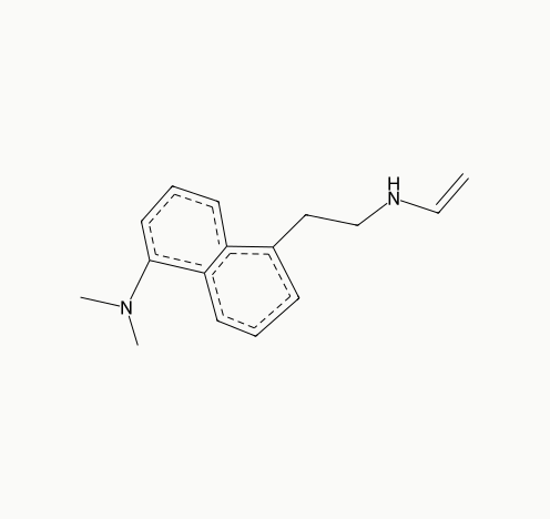 C=CNCCc1cccc2c(N(C)C)cccc12